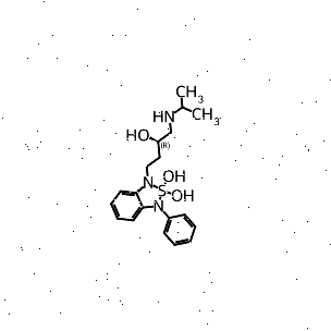 CC(C)NC[C@H](O)CCN1c2ccccc2N(c2ccccc2)S1(O)O